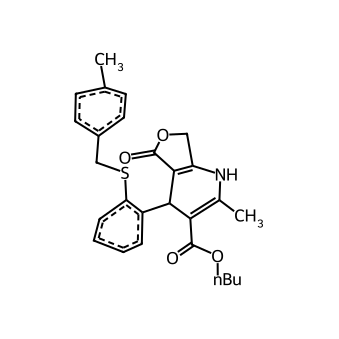 CCCCOC(=O)C1=C(C)NC2=C(C(=O)OC2)C1c1ccccc1SCc1ccc(C)cc1